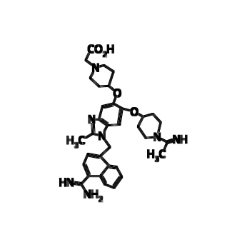 CC(=N)N1CCC(Oc2cc3c(cc2OC2CCN(CC(=O)O)CC2)nc(C)n3Cc2ccc(C(=N)N)c3ccccc23)CC1